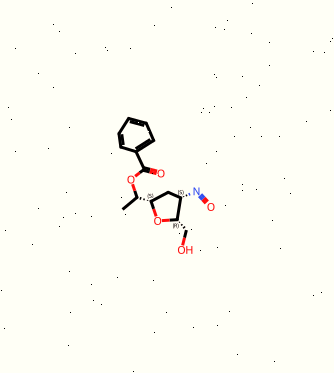 CC(OC(=O)c1ccccc1)[C@@H]1C[C@H](N=O)[C@H](CO)O1